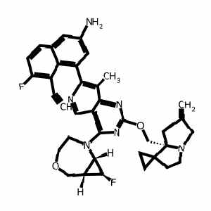 C#Cc1c(F)ccc2cc(N)cc(-c3ncc4c(N5CCOC[C@H]6[C@H](F)[C@H]65)nc(OC[C@]56CC(=C)CN5CCC65CC5)nc4c3C)c12